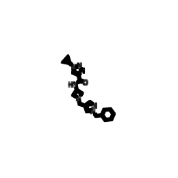 O=C(NC1CN(Cc2cnn(CC3CCCCC3)c2)C1)c1cn(C2CC2)nn1